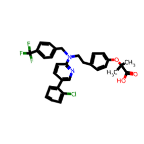 CC(C)(Oc1ccc(CCN(Cc2ccc(C(F)(F)F)cc2)c2ccc(-c3ccccc3Cl)cn2)cc1)C(=O)O